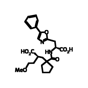 COCC[C@H](CC1(C(=O)N[C@@H](Cc2ncc(-c3ccccc3)o2)C(=O)O)CCCC1)C(=O)O